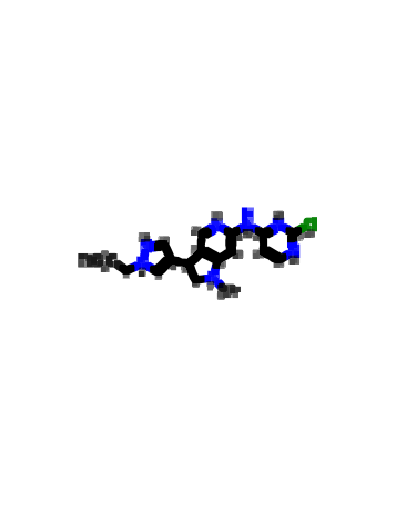 CCOC(=O)Cn1cc(C2CN(C(C)C)c3cc(Nc4ccnc(Cl)n4)ncc32)cn1